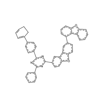 C1=CCCC(c2ccc(-c3nc(-c4ccccc4)nc(-c4ccc5oc6ccc(-c7cccc8oc9ccccc9c78)cc6c5c4)n3)cc2)=C1